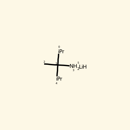 CC(C)C(C)(N)C(C)C.[LiH]